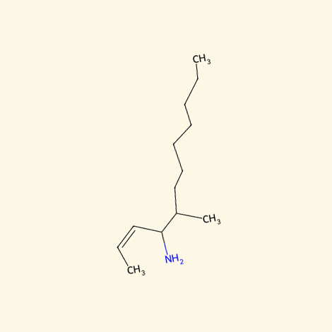 C/C=C\C(N)C(C)CCCCCCC